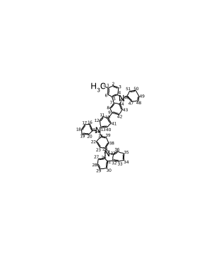 Cc1ccc2c(c1)c1cc(-c3ccc(N(c4ccccc4)c4ccc(-n5c6ccccc6c6ccccc65)cc4)cc3)ccc1n2-c1ccccc1